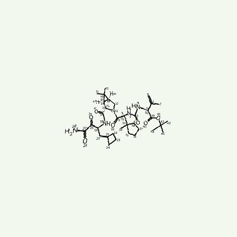 C=C(C)[C@H](NC(=O)N[C@H](C(=O)N1C[C@H]2[C@@H]([C@H]1C(=O)NC(CC1CCC1)C(=O)C(N)=O)C2(C)C)C1(C)CCCC1)C(=O)OC(C)(C)C